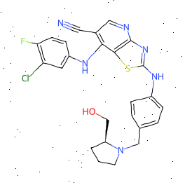 N#Cc1cnc2nc(Nc3ccc(CN4CCC[C@H]4CO)cc3)sc2c1Nc1ccc(F)c(Cl)c1